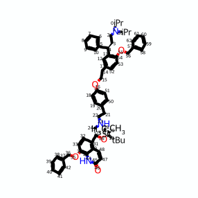 CC(C)N(CC[C@H](c1ccccc1)c1cc(CCOc2ccc(CCNC[C@H](O[Si](C)(C)C(C)(C)C)c3ccc(OCc4ccccc4)c4[nH]c(=O)ccc34)cc2)ccc1OCc1ccccc1)C(C)C